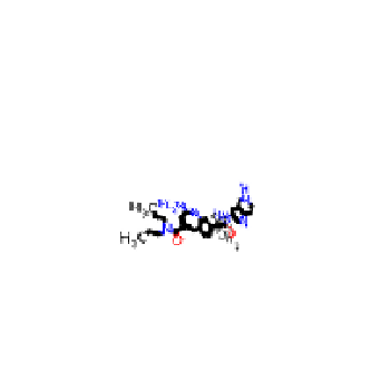 CCCN(CCC)C(=O)C1=Cc2ccc(C(C)(C)C(=O)Nc3cnc4c(c3)CNCC4)cc2N=C(N)C1